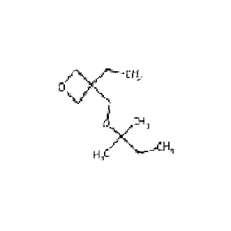 CCC1(COC(C)(C)CC)COC1